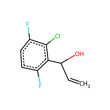 C=CC(O)c1c(F)ccc(F)c1Cl